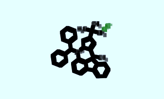 CCC1=CC(C(C)(C)C)=C[CH]1[Zr+2]([c]1cccc2c1Cc1ccccc1-2)[CH](c1ccccc1)c1ccccc1.[Cl-].[Cl-]